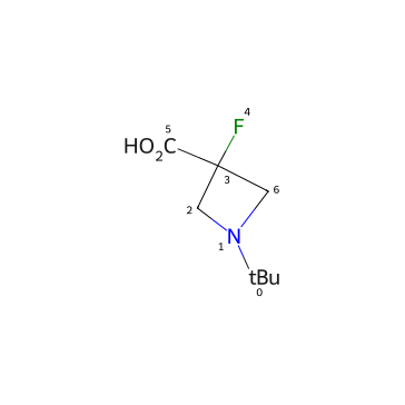 CC(C)(C)N1CC(F)(C(=O)O)C1